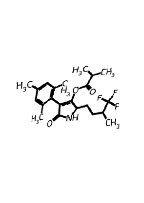 Cc1cc(C)c(C2=C(OC(=O)C(C)C)C(CCC(C)C(F)(F)F)NC2=O)c(C)c1